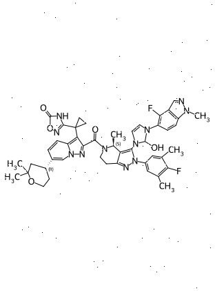 Cc1cc(-n2nc3c(c2N2C=CN(c4ccc5c(cnn5C)c4F)C2O)[C@H](C)N(C(=O)c2nn4cc([C@@H]5CCOC(C)(C)C5)ccc4c2C2(c4noc(=O)[nH]4)CC2)CC3)cc(C)c1F